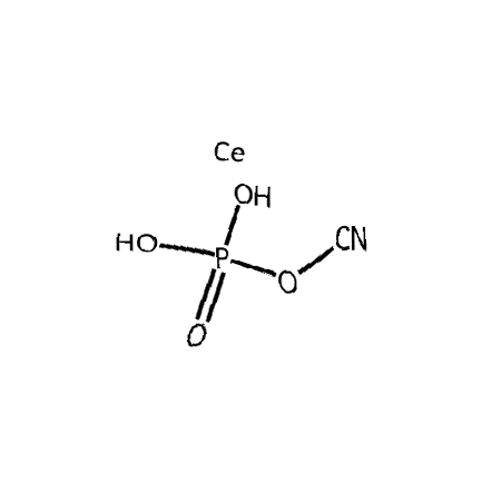 N#COP(=O)(O)O.[Ce]